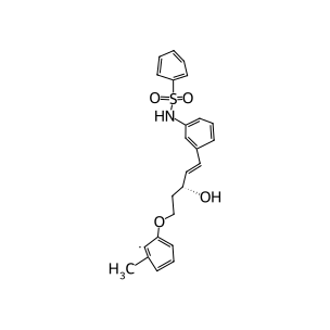 Cc1[c]c(OCC[C@@H](O)/C=C/c2cccc(NS(=O)(=O)c3ccccc3)c2)ccc1